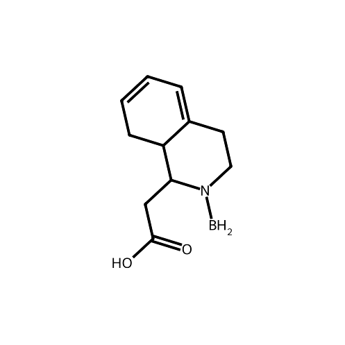 BN1CCC2=CC=CCC2C1CC(=O)O